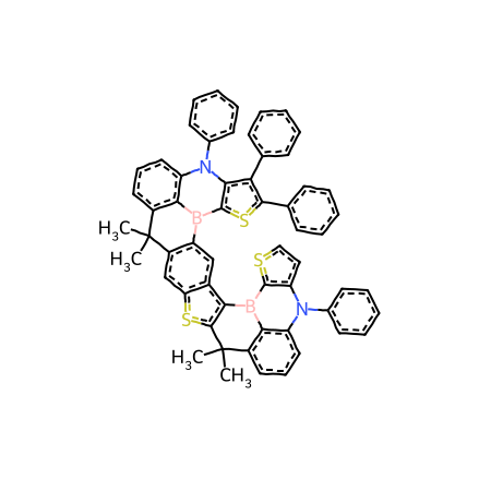 CC1(C)c2cc3sc4c(c3cc2B2c3sc(-c5ccccc5)c(-c5ccccc5)c3N(c3ccccc3)c3cccc1c32)B1c2sccc2N(c2ccccc2)c2cccc(c21)C4(C)C